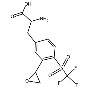 NC(Cc1ccc(S(=O)(=O)C(F)(F)F)c(C2CO2)c1)C(=O)O